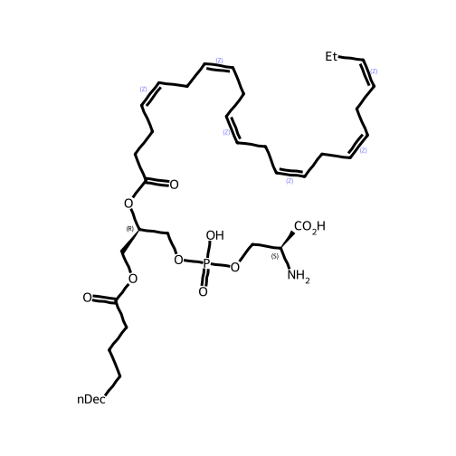 CC/C=C\C/C=C\C/C=C\C/C=C\C/C=C\C/C=C\CCC(=O)O[C@H](COC(=O)CCCCCCCCCCCCC)COP(=O)(O)OC[C@H](N)C(=O)O